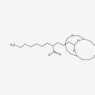 [CH2]CCCCCCC(CCC[C]1OC2CCCCCCC(COCCCC2)O1)[N+](=O)[O-]